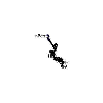 CCCCC/C=C\C/C=C\CCCCCCCCOCC(CN1CCCCC1)OCCOC(=O)[C@H](Cc1ccccc1)NC(=O)OC1CC[C@@]2(C)C(=CC[C@@H]3C2CC[C@]2(C)[C@@H]([C@H](C)CCCC(C)C)CC[C@@H]32)C1